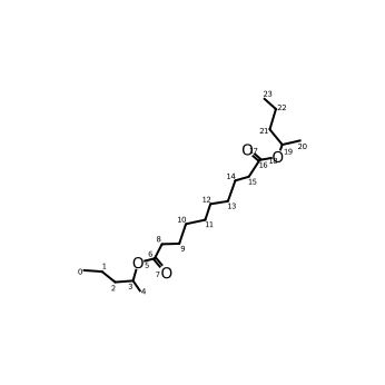 CCCC(C)OC(=O)CCCCCCCCC(=O)OC(C)CCC